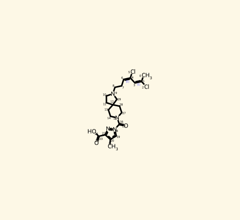 C/C(Cl)=C\C(Cl)=C/CCN1CCC2(CCN(C(=O)n3cc(C)c(C(=O)O)n3)CC2)C1